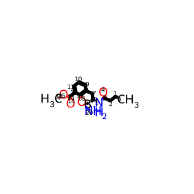 CCCC(=O)N[C@H]1Cc2cccc(C(=O)OC)c2OB1N